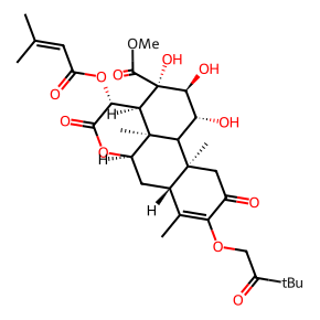 COC(=O)[C@@]1(O)[C@@H](O)[C@H](O)C2[C@@]3(C)[C@@H](C[C@H]4C(C)=C(OCC(=O)C(C)(C)C)C(=O)C[C@]24C)OC(=O)[C@H](OC(=O)C=C(C)C)[C@@H]13